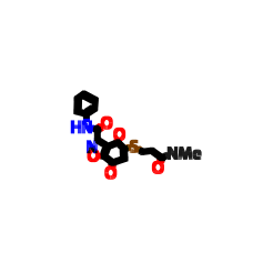 CNC(=O)CCSC1=CC(=O)c2onc(C(=O)Nc3ccccc3)c2C1=O